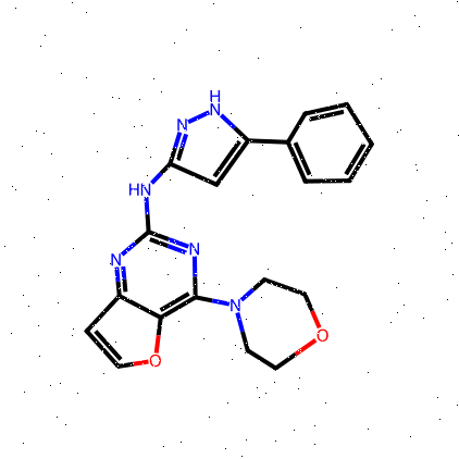 c1ccc(-c2cc(Nc3nc(N4CCOCC4)c4occc4n3)n[nH]2)cc1